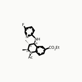 CCOC(=O)c1ccc2c(c1)[C@H](Nc1ccc(F)cn1)[C@@H](C)[C@H](C)N2C(C)=O